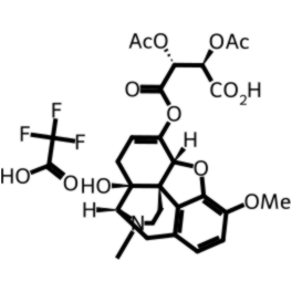 COc1ccc2c3c1O[C@H]1C(OC(=O)[C@H](OC(C)=O)[C@@H](OC(C)=O)C(=O)O)=CC[C@@]4(O)[C@@H](C2)N(C)CC[C@]314.O=C(O)C(F)(F)F